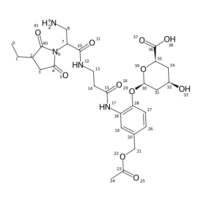 CCC1CC(=O)N(C(CN)C(=O)NCCC(=O)Nc2cc(COC(C)=O)ccc2O[C@@H]2C[C@H](O)C[C@H](C(=O)O)O2)C1=O